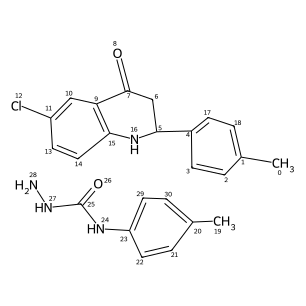 Cc1ccc(C2CC(=O)c3cc(Cl)ccc3N2)cc1.Cc1ccc(NC(=O)NN)cc1